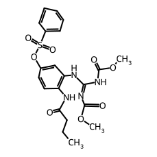 CCCC(=O)Nc1ccc(OS(=O)(=O)c2ccccc2)cc1NC(=NC(=O)OC)NC(=O)OC